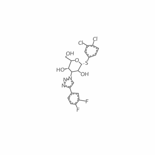 OCC1O[C@H](Sc2ccc(Cl)c(Cl)c2)C(O)C(n2cc(-c3ccc(F)c(F)c3)nn2)[C@H]1O